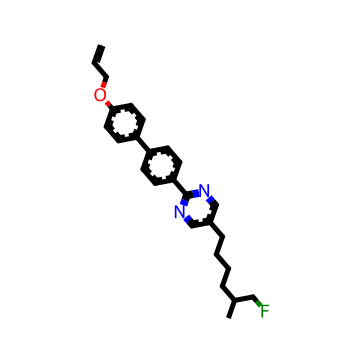 C=CCOc1ccc(-c2ccc(-c3ncc(CCCCC(C)CF)cn3)cc2)cc1